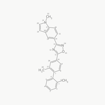 Cc1ccccc1-c1ccc(-c2nc(-c3ccc4c(ccn4C)c3)no2)cc1C